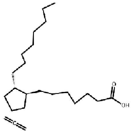 C=C=C.CCCCCCCC[C@H]1CCC[C@@H]1CCCCCCC(=O)O